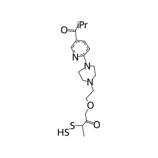 CC(C)C(=O)c1ccc(N2CCN(CCOCC(=O)C(C)SS)CC2)nc1